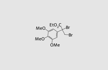 CCOC(=O)C(Br)(CBr)c1cc(OC)c(OC)c(OC)c1